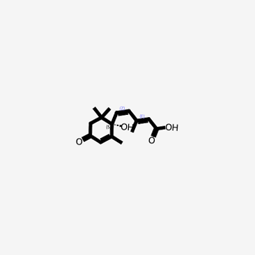 CC1=CC(=O)CC(C)(C)[C@@]1(O)/C=C\C(C)=C\C(=O)O